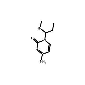 CCC(NC)n1ccc(N)nc1=O